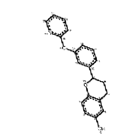 Oc1ccc2c(c1)CCC(c1cccc(Oc3ccccn3)c1)O2